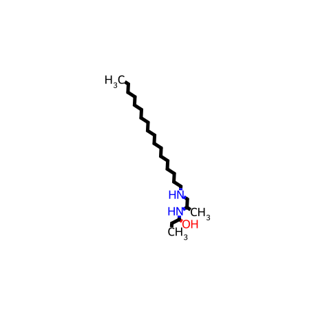 CCCCCCCCCCCCCCCCCCNCC(C)NC(O)CC